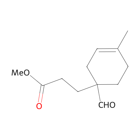 COC(=O)CCC1(C=O)CC=C(C)CC1